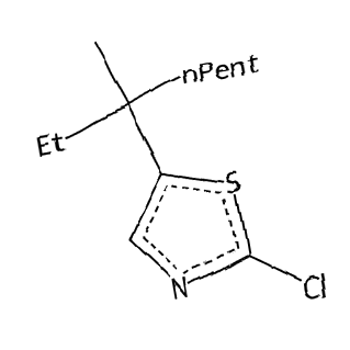 CCCCCC(C)(CC)c1cnc(Cl)s1